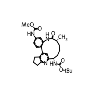 COC(=O)Nc1ccc2c(c1)NC(=O)[C@H](C)CCC[C@H](NC(=O)OC(C)(C)C)c1cc-2c2c(n1)CCC2